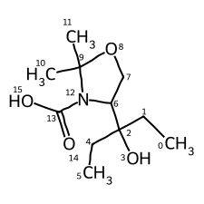 CCC(O)(CC)C1COC(C)(C)N1C(=O)O